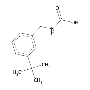 CC(C)(C)c1cccc(CNC(=O)O)c1